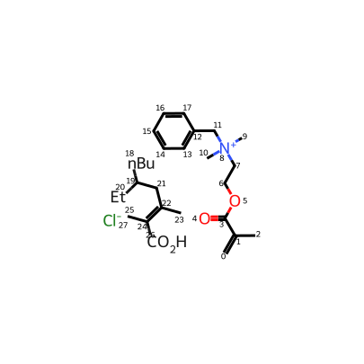 C=C(C)C(=O)OCC[N+](C)(C)Cc1ccccc1.CCCCC(CC)CC(C)=C(C)C(=O)O.[Cl-]